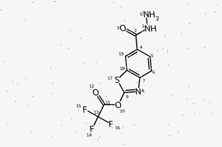 NNC(=O)c1ccc2nc(OC(=O)C(F)(F)F)sc2c1